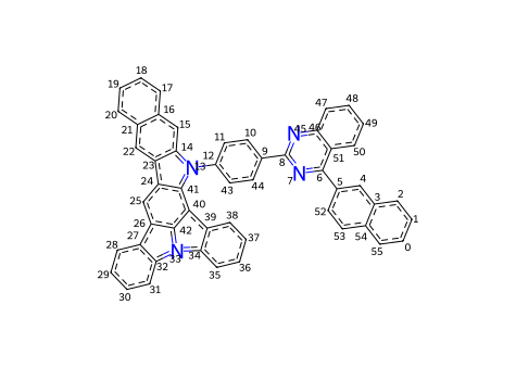 c1ccc2cc(-c3nc(-c4ccc(-n5c6cc7ccccc7cc6c6cc7c8ccccc8n8c9ccccc9c(c65)c78)cc4)nc4ccccc34)ccc2c1